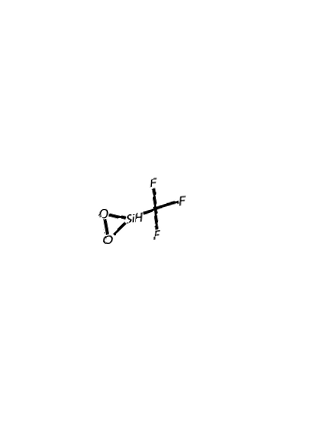 FC(F)(F)[SiH]1OO1